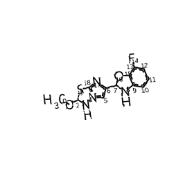 COC1Nn2cc(C3Nc4cccc(F)c4O3)nc2S1